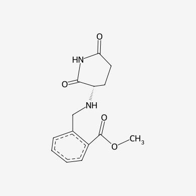 COC(=O)c1ccccc1CN[C@H]1CCC(=O)NC1=O